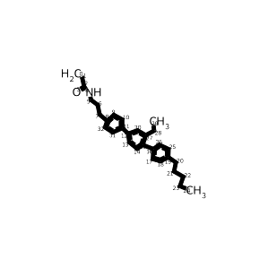 C=CC(=O)NCCCc1ccc(-c2ccc(-c3ccc(CCCCC)cc3)c(CC)c2)cc1